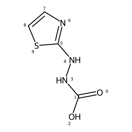 O=C(O)NNc1nccs1